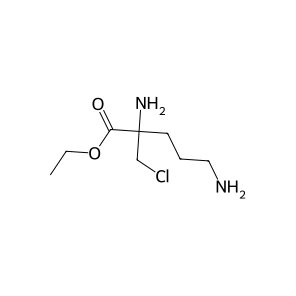 CCOC(=O)C(N)(CCl)CCCN